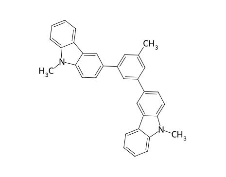 Cc1cc(-c2ccc3c(c2)c2ccccc2n3C)cc(-c2ccc3c(c2)c2ccccc2n3C)c1